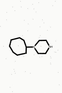 [CH]1CCCCCCC1N1CCNCC1